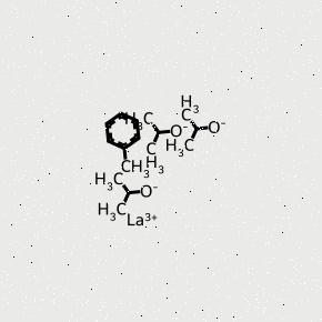 CC(C)[O-].CC(C)[O-].CC(C)[O-].Cc1ccccc1.[La+3]